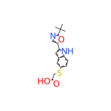 CC(C)(C)c1ncc(-c2cc3cc(SCC(=O)O)ccc3[nH]2)o1